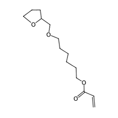 C=CC(=O)OCCCCCCOCC1CCCO1